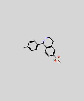 CS(=O)(=O)c1ccc2c(c1)CCNC2c1ccc(F)cc1